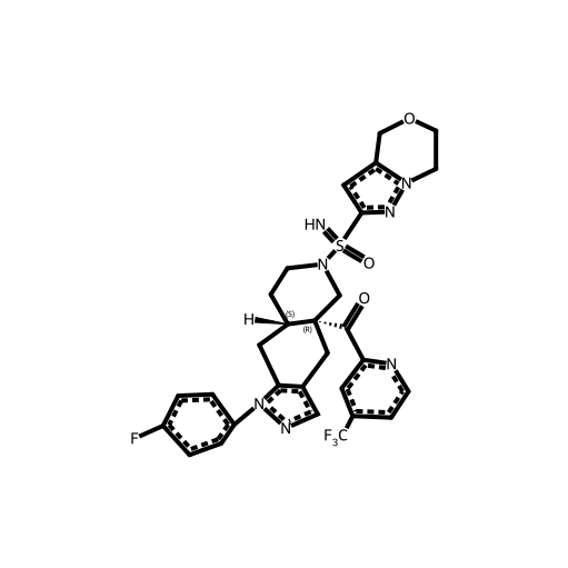 N=S(=O)(c1cc2n(n1)CCOC2)N1CC[C@H]2Cc3c(cnn3-c3ccc(F)cc3)C[C@]2(C(=O)c2cc(C(F)(F)F)ccn2)C1